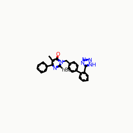 CCCCc1nc(-c2ccccc2)c(C)c(=O)n1Cc1ccc(-c2ccccc2-c2nnn[nH]2)cc1